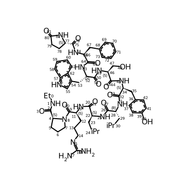 CCNC(=O)[C@@H]1CCCN1C(=O)[C@H](CCCN=C(N)N)NC(=O)[C@H](CC(C)C)NC(=O)[C@@H](CC(C)C)NC(=O)[C@H](Cc1ccc(O)cc1)NC(=O)[C@H](CO)NC(=O)[C@H](Cc1c[nH]c2ccccc12)NC(=O)[C@H](Cc1ccccc1)NC(=O)[C@@H]1CCC(=O)N1